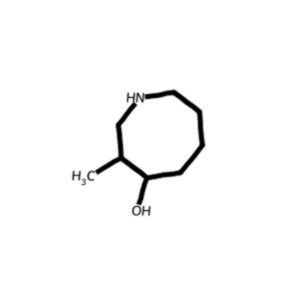 CC1CNCCCCC1O